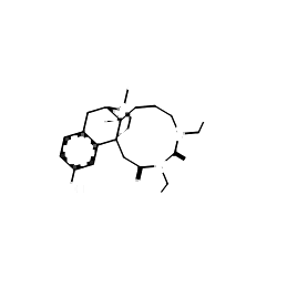 CCN1CCC[C@H]2[C@H]3Cc4ccc(O)cc4[C@@]2(CCN3C)CC(=O)N(CC)C1=O